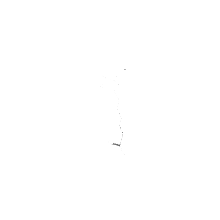 CCC1CC(CCCCCC(C)=S)CC(C)C1C